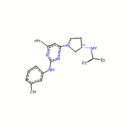 CCCc1cc(N2CC[C@H](NC(CC)CC)C2)nc(Nc2cccc(C#N)c2)n1